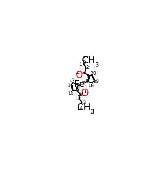 CCCC(=O)C1=[C]([Fe][C]2=C(C(=O)CCC)C=CC2)CC=C1